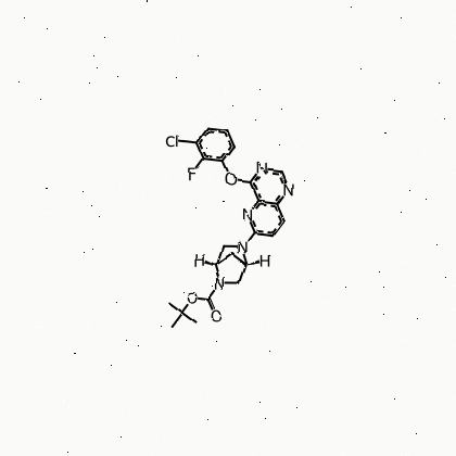 CC(C)(C)OC(=O)N1C[C@@H]2C[C@H]1CN2c1ccc2ncnc(Oc3cccc(Cl)c3F)c2n1